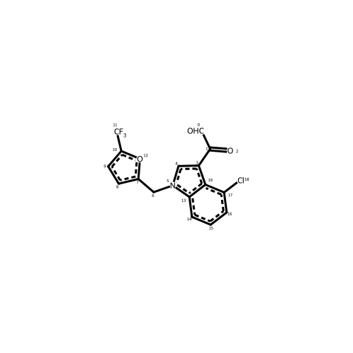 O=CC(=O)c1cn(Cc2ccc(C(F)(F)F)o2)c2cccc(Cl)c12